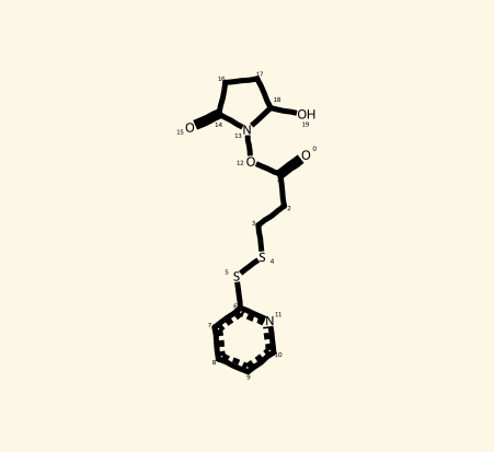 O=C(CCSSc1ccccn1)ON1C(=O)CCC1O